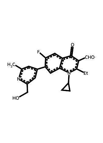 CCc1c([C]=O)c(=O)c2cc(F)c(-c3cc(C)nc(CO)c3)cc2n1C1CC1